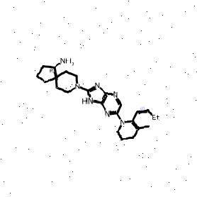 CC/C=C\C1=C(C)CCCN1c1cnc2nc(N3CCC4(CCC[C@H]4N)CC3)[nH]c2n1